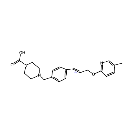 Cc1ccc(OC/C=C/c2ccc(CN3CCN(C(=O)O)CC3)cc2)nc1